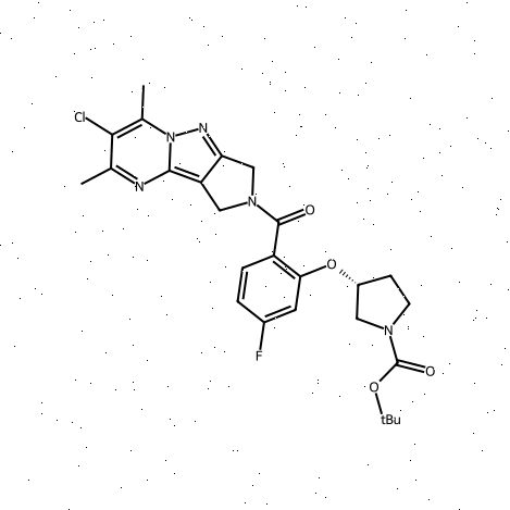 Cc1nc2c3c(nn2c(C)c1Cl)CN(C(=O)c1ccc(F)cc1O[C@@H]1CCN(C(=O)OC(C)(C)C)C1)C3